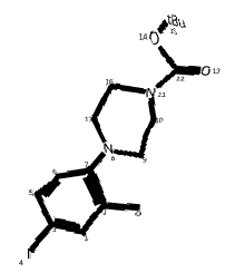 Cc1cc(I)ccc1N1CCN(C(=O)OC(C)(C)C)CC1